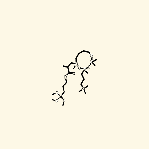 CO[Si](CCCOC(=O)C(C)C[Si]1(C)CCCCO[Si](C)(C)O[Si](C)(CCC[Si](C)(C)C)O1)(OC)OC